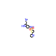 CN(C)CCc1c[nH]c2ccc(NS(=O)(=O)c3ccc(-c4ccccn4)s3)cc12